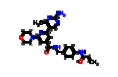 C=CC(=O)Nc1ccc(CNC(=O)c2cc(-c3cnc(N)nc3C)nc(N3CCOCC3)c2)cc1